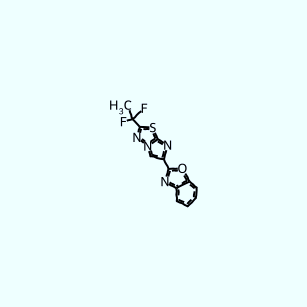 CC(F)(F)c1nn2cc(-c3nc4ccccc4o3)nc2s1